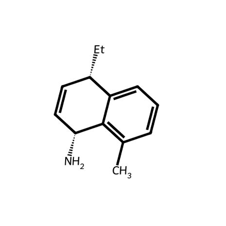 CC[C@H]1C=C[C@@H](N)c2c(C)cccc21